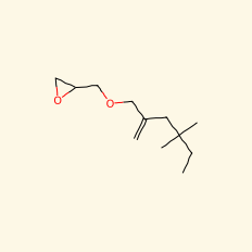 C=C(COCC1CO1)CC(C)(C)CC